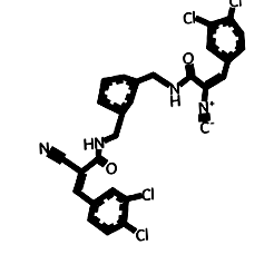 [C-]#[N+]/C(=C/c1ccc(Cl)c(Cl)c1)C(=O)NCc1cccc(CNC(=O)/C(C#N)=C\c2ccc(Cl)c(Cl)c2)c1